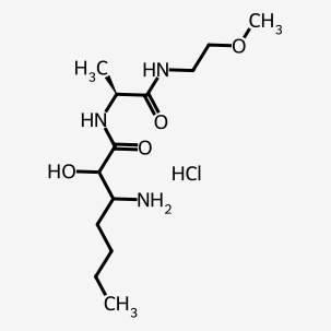 CCCCC(N)C(O)C(=O)N[C@@H](C)C(=O)NCCOC.Cl